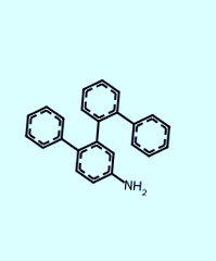 Nc1ccc(-c2ccccc2)c(-c2ccccc2-c2ccccc2)c1